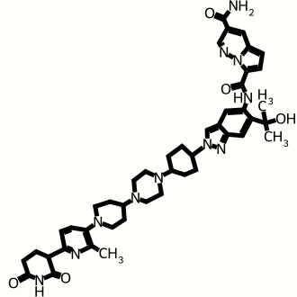 Cc1nc(C2CCC(=O)NC2=O)ccc1N1CCC(N2CCN(C3CCC(n4cc5cc(NC(=O)c6ccc7cc(C(N)=O)cnn67)c(C(C)(C)O)cc5n4)CC3)CC2)CC1